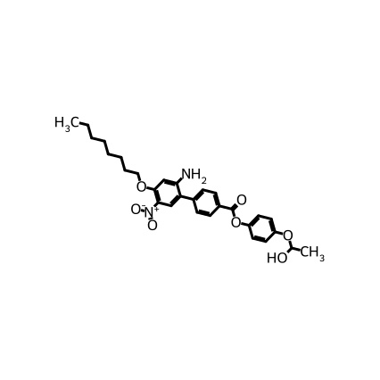 CCCCCCCCOc1cc(N)c(-c2ccc(C(=O)Oc3ccc(OC(C)O)cc3)cc2)cc1[N+](=O)[O-]